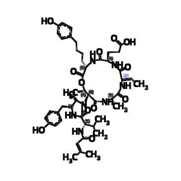 C/C=C1\NC(=O)[C@H](C)NC(=O)[C@@H](NC(=O)[C@H](Cc2ccc(O)cc2)NC(=O)[C@@H](NC(=O)C=C(C)C)C(C)C)[C@@H](C)OC(=O)[C@H](CCCCc2ccc(O)cc2)NC(=O)[C@@H](CCC(=O)O)NC1=O